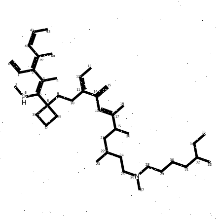 C=CC(/C(C)=C(\PC)C1(CC/C(=C/C)C(=C)/C=C(\C)C(C)CC(C)CCN(C)CCCCC(C)CC)CCC1)=C(C)\C=C/C